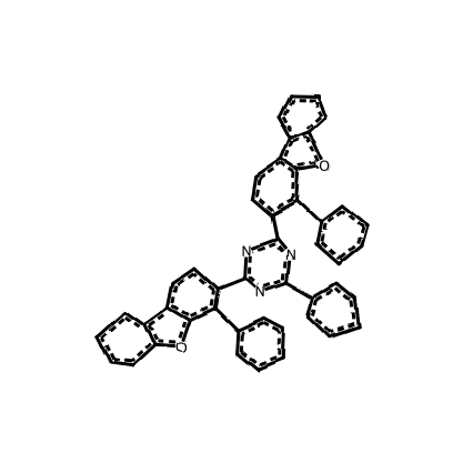 c1ccc(-c2nc(-c3ccc4c(oc5ccccc54)c3-c3ccccc3)nc(-c3ccc4c(oc5ccccc54)c3-c3ccccc3)n2)cc1